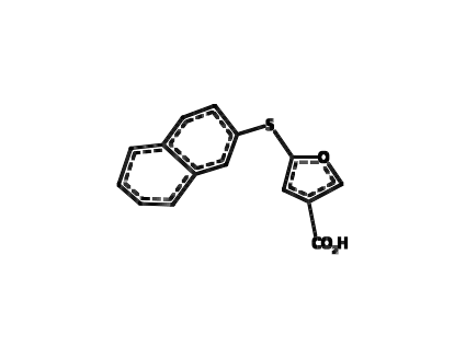 O=C(O)c1coc(Sc2ccc3ccccc3c2)c1